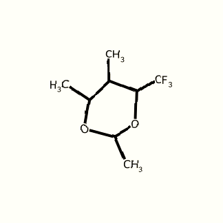 CC1OC(C)C(C)C(C(F)(F)F)O1